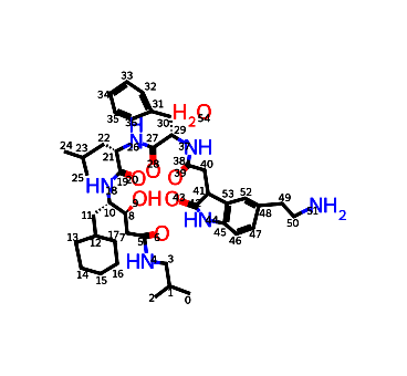 CC(C)CNC(=O)C[C@H](O)[C@H](CC1CCCCC1)NC(=O)[C@H](CC(C)C)NC(=O)[C@H](Cc1ccccc1)NC(=O)CC1C(=O)Nc2ccc(CCN)cc21.O